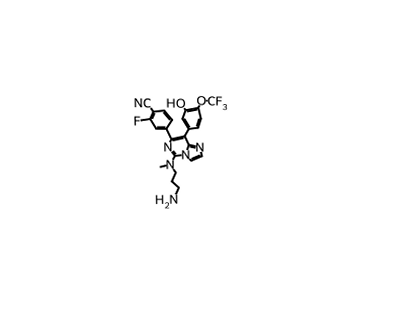 CN(CCCN)c1nc(-c2ccc(C#N)c(F)c2)c(-c2ccc(OC(F)(F)F)c(O)c2)c2nccn12